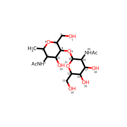 CC(=O)NC1C(C)OC(CO)C(OC2OC(CO)C(O)C(O)C2NC(C)=O)C1O